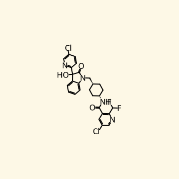 O=C(N[C@H]1CC[C@H](CN2C(=O)C(O)(c3ccc(Cl)cn3)c3ccccc32)CC1)c1cc(Cl)cnc1C(F)F